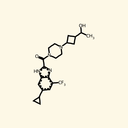 CC(O)C1CC(N2CCN(C(=O)c3nc4c(C(F)(F)F)cc(C5CC5)cc4[nH]3)CC2)C1